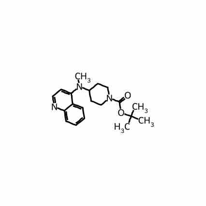 CN(c1ccnc2ccccc12)C1CCN(C(=O)OC(C)(C)C)CC1